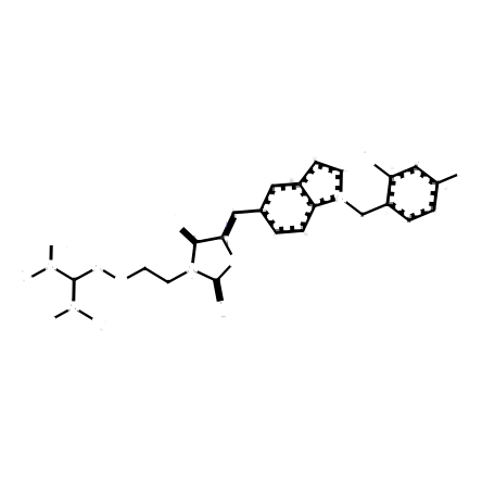 CC(C)(C)N(C(=O)O)C(NOCCN1C(=O)S/C(=C\c2ccc3c(ccn3Cc3ccc(Cl)cc3C(F)(F)F)c2)C1=O)N(C(=O)O)C(C)(C)C